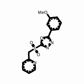 COc1cccc(-c2nnc(S(=O)(=O)Cc3ccccn3)o2)c1